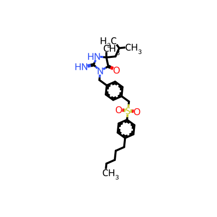 CCCCCc1ccc(S(=O)(=O)Cc2ccc(CN3C(=N)NC(C)(CC(C)C)C3=O)cc2)cc1